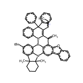 C=C1C2=C(/C=C\C)C(c3ccccc3)(c3ccccc3)c3ccccc3N2B2c3cc(C(C)(C)C)cc4c3N(c3cc5c(oc6ccccc65)c1c32)C1(C)CCCCC41C